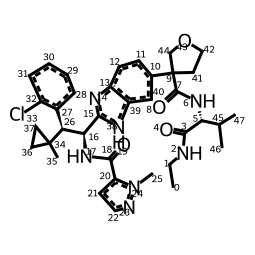 CCNC(=O)[C@H](NC(=O)C1(c2ccc3nc([C@@H](NC(=O)c4ccnn4C)[C@H](c4ccccc4Cl)C4(C)CC4)[nH]c3c2)CCOC1)C(C)C